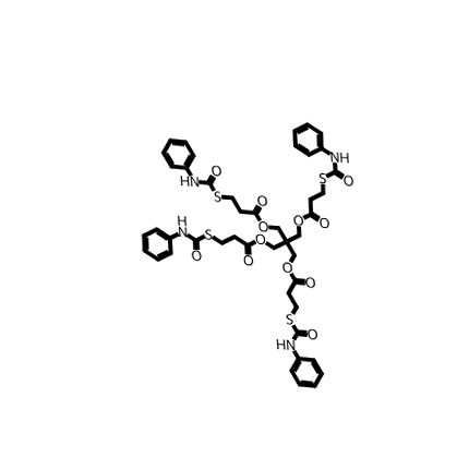 O=C(CCSC(=O)Nc1ccccc1)OCC(COC(=O)CCSC(=O)Nc1ccccc1)(COC(=O)CCSC(=O)Nc1ccccc1)COC(=O)CCSC(=O)Nc1ccccc1